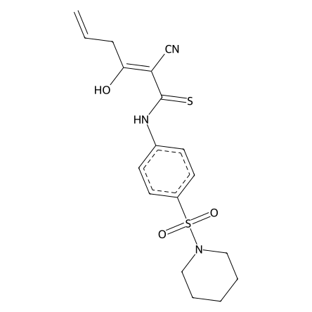 C=CCC(O)=C(C#N)C(=S)Nc1ccc(S(=O)(=O)N2CCCCC2)cc1